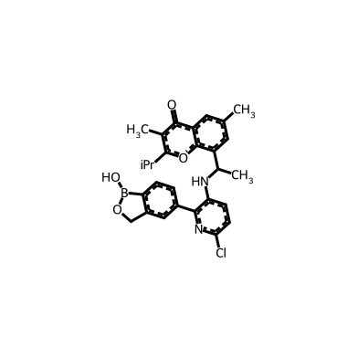 Cc1cc(C(C)Nc2ccc(Cl)nc2-c2ccc3c(c2)COB3O)c2oc(C(C)C)c(C)c(=O)c2c1